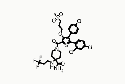 CS(=O)(=O)CCCOc1c(C(=O)N2CCC(NCCC(F)(F)F)(C(N)=O)CC2)sc(-c2ccc(Cl)cc2Cl)c1-c1ccc(Cl)cc1